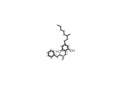 CCCCCC(C)CCc1cc(O)c(CN(C)CCc2ccccc2)c(O)c1